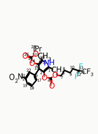 CC1=C(OC(=O)OCCCCC(F)(F)C(F)(F)F)C(c2cccc([N+](=O)[O-])c2)C(OC(=O)OC(C)C)=C(C)N1